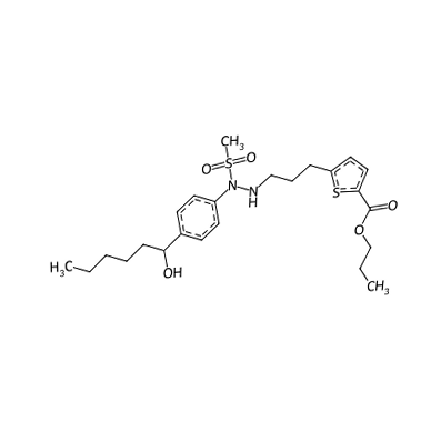 CCCCCC(O)c1ccc(N(NCCCc2ccc(C(=O)OCCC)s2)S(C)(=O)=O)cc1